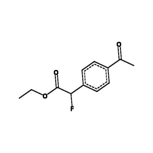 CCOC(=O)C(F)c1ccc(C(C)=O)cc1